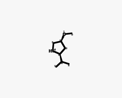 CO[C@@H]1CN[C@H](C(C)C)C1